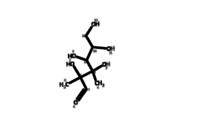 CC(O)(C=O)C(C)(O)C(O)C(O)CO